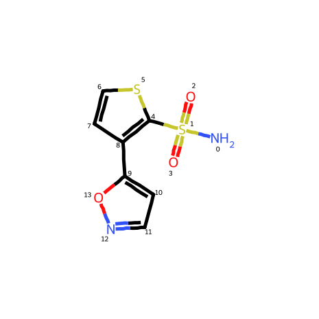 NS(=O)(=O)c1sccc1-c1ccno1